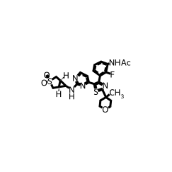 CC(=O)Nc1cccc(-c2nc(C3(C)CCOCC3)sc2-c2ccnc(NC3[C@H]4CS(=O)(=O)C[C@@H]34)n2)c1F